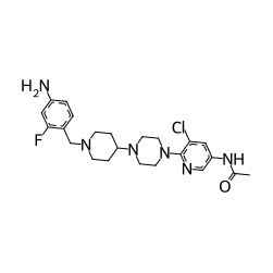 CC(=O)Nc1cnc(N2CCN(C3CCN(Cc4ccc(N)cc4F)CC3)CC2)c(Cl)c1